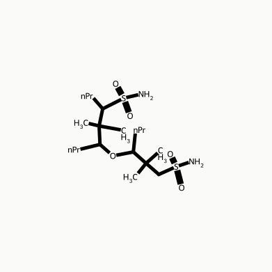 CCCC(OC(CCC)C(C)(C)C(CCC)S(N)(=O)=O)C(C)(C)CS(N)(=O)=O